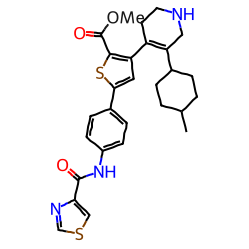 COC(=O)c1sc(-c2ccc(NC(=O)c3cscn3)cc2)cc1C1=C(C2CCC(C)CC2)CNCC1